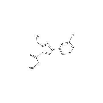 CCCCOC(=O)c1cc(-c2cccc(Cl)c2)nn1CC#N